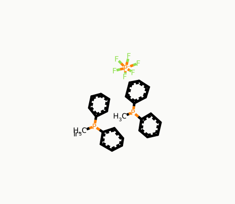 CP(c1ccccc1)c1ccccc1.CP(c1ccccc1)c1ccccc1.F[P-](F)(F)(F)(F)F.[Ir+]